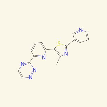 Cc1nc(-c2cccnc2)sc1-c1cccc(-c2nccnn2)n1